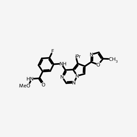 CONC(=O)c1ccc(F)c(Nc2ncnn3cc(-c4ncc(C)o4)c(C(C)C)c23)c1